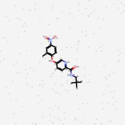 Cc1cc([N+](=O)[O-])ccc1Oc1ccc(C(=O)NCC(C)(C)C)nc1